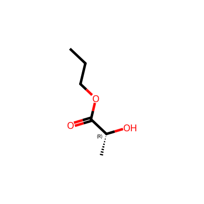 CCCOC(=O)[C@@H](C)O